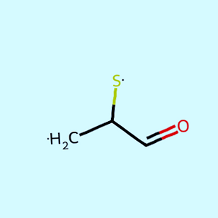 [CH2]C([S])C=O